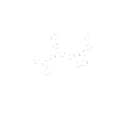 c1ccc(-c2ccc(N(c3ccc(-c4ccc(N(c5ccc(-c6cccc(-c7ccccc7)c6)cc5)c5cccc6ccccc56)cc4)cc3)c3ccc(-c4cc(-c5ccccc5)cc(-c5ccccc5)c4)cc3)cc2)cc1